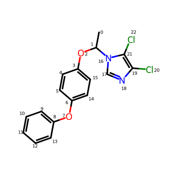 CC(Oc1ccc(Oc2ccccc2)cc1)n1cnc(Cl)c1Cl